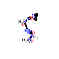 CCC(=O)N(C)CCCN(C)C(=O)c1cnc(NCCCCCC(=O)N(C)CCN2CCC(OC(=O)Nc3ccccc3-c3ccccc3)CC2)nc1